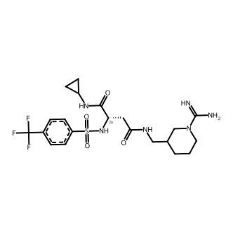 N=C(N)N1CCCC(CNC(=O)C[C@H](NS(=O)(=O)c2ccc(C(F)(F)F)cc2)C(=O)NC2CC2)C1